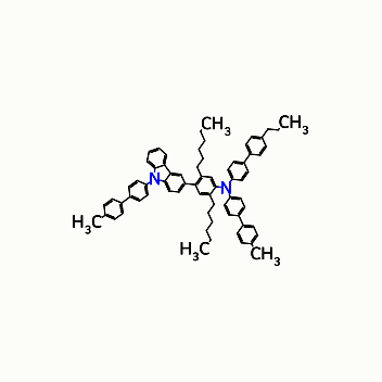 CCCCCCc1cc(N(c2ccc(-c3ccc(C)cc3)cc2)c2ccc(-c3ccc(CCC)cc3)cc2)c(CCCCCC)cc1-c1ccc2c(c1)c1ccccc1n2-c1ccc(-c2ccc(C)cc2)cc1